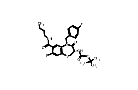 CCCCNC(=O)c1cc2c(cc1F)SC[C@H](NC(=O)OC(C)(C)C)C(=O)N2Cc1ccc(F)cc1